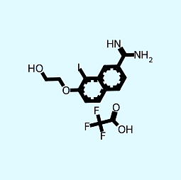 N=C(N)c1ccc2ccc(OCCO)c(I)c2c1.O=C(O)C(F)(F)F